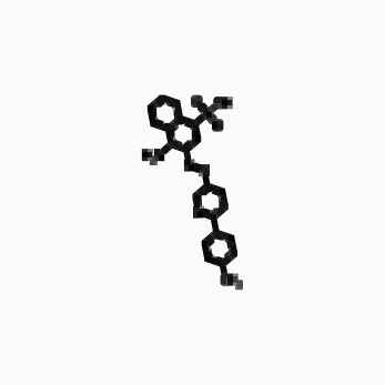 Cc1ccc(-c2ccc(/N=N/c3cc(S(=O)(=O)O)c4ccccc4c3N)cn2)cc1